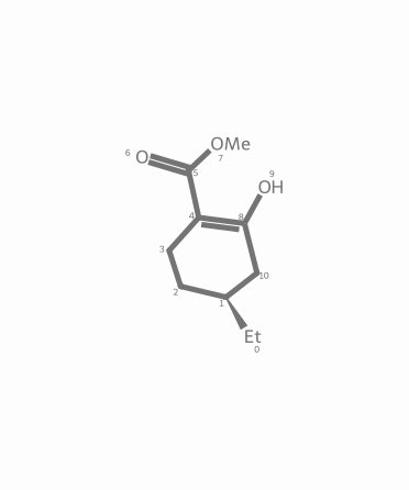 CC[C@H]1CCC(C(=O)OC)=C(O)C1